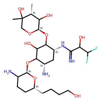 C[C@@H]1C(O)[C@@H](OC2C(O)C(O[C@H]3O[C@H](CCCCO)CCC3N)[C@@H](N)C[C@H]2NC(=N)C(O)C(F)F)OCC1(C)O